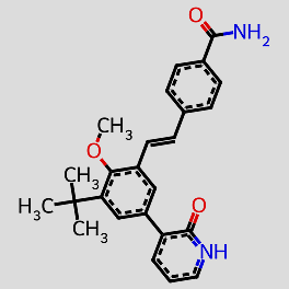 COc1c(C=Cc2ccc(C(N)=O)cc2)cc(-c2ccc[nH]c2=O)cc1C(C)(C)C